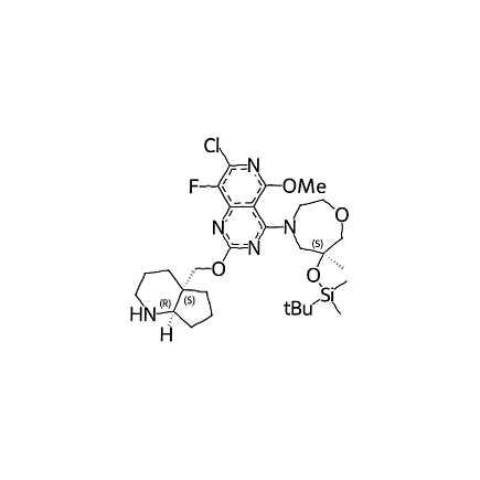 COc1nc(Cl)c(F)c2nc(OC[C@@]34CCCN[C@@H]3CCC4)nc(N3CCOC[C@@](C)(O[Si](C)(C)C(C)(C)C)C3)c12